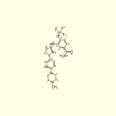 CN1CCN(c2ccc(C3CSC(Nc4cc(C(N)=O)ccc4OC(F)(F)F)=N3)cn2)CC1